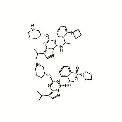 CC(C)c1cnn2c(NC(C)c3ccccc3N3CCC3)nc(O[C@@H]3CCCNC3)nc12.CC(C)c1cnn2c(NC(C)c3ccccc3S(=O)(=O)N3CCCC3)nc(O[C@@H]3CCCNC3)nc12